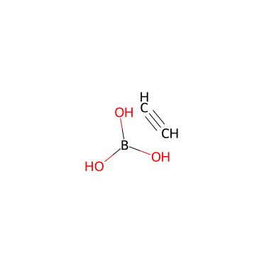 C#C.OB(O)O